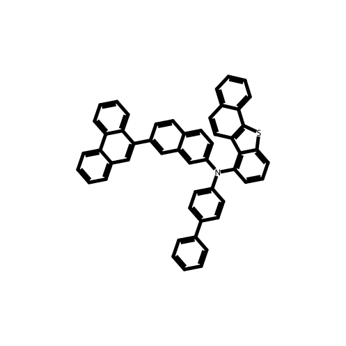 c1ccc(-c2ccc(N(c3ccc4ccc(-c5cc6ccccc6c6ccccc56)cc4c3)c3cccc4sc5c6ccccc6ccc5c34)cc2)cc1